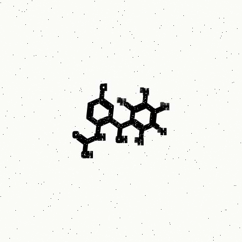 [2H]c1c([2H])c([2H])c(C(O)c2cc(Cl)ccc2NC(=O)O)c([2H])c1[2H]